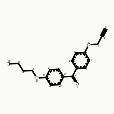 C#CCOc1ccc(C(=O)c2ccc(OCCCCl)cc2)cc1